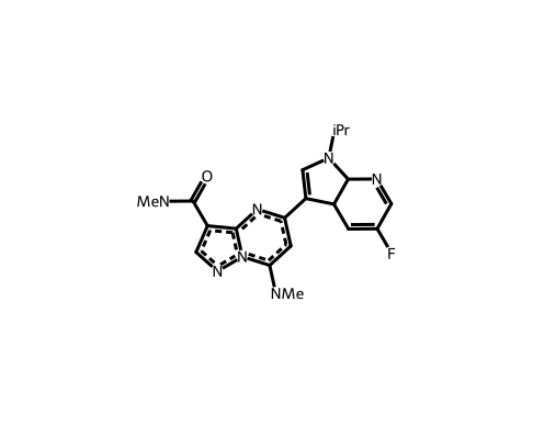 CNC(=O)c1cnn2c(NC)cc(C3=CN(C(C)C)C4N=CC(F)=CC34)nc12